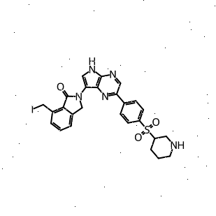 O=C1c2c(CI)cccc2CN1c1c[nH]c2ncc(-c3ccc(S(=O)(=O)C4CCCNC4)cc3)nc12